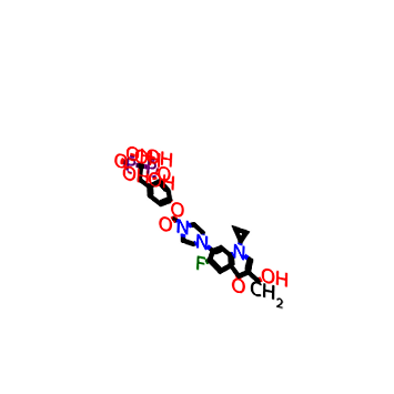 C=C(O)c1cn(C2CC2)c2cc(N3CCN(C(=O)Oc4ccc(CC(O)(P(=O)(O)O)P(=O)(O)O)cc4)CC3)c(F)cc2c1=O